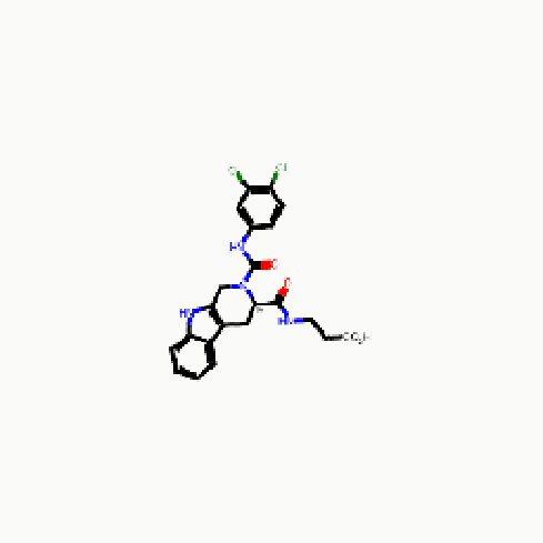 O=C(O)CCNC(=O)[C@H]1Cc2c([nH]c3ccccc23)CN1C(=O)Nc1ccc(Cl)c(Cl)c1